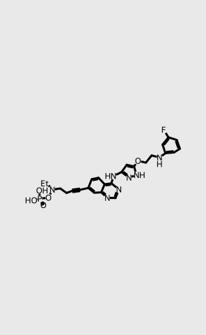 CCN(CCC#Cc1ccc2c(Nc3cc(OCCNc4cccc(F)c4)[nH]n3)ncnc2c1)OP(=O)(O)O